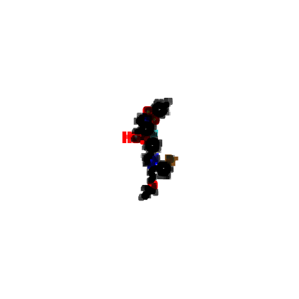 C#CC(C)(C)OCCCC(c1cccc(Br)c1)n1ccc(-c2cccc(Oc3c(F)cc4c(ccn4S(=O)(=O)c4ccc(C)cc4)c3CO)c2)n1